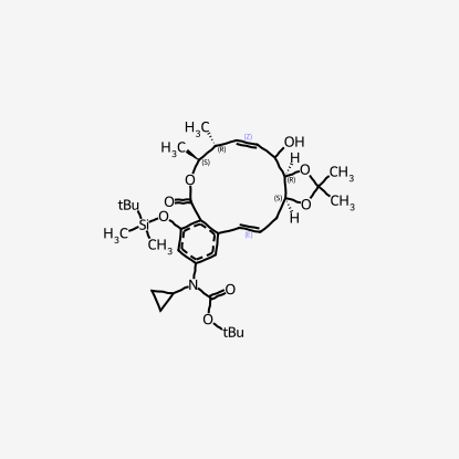 C[C@@H]1/C=C\C(O)[C@H]2OC(C)(C)O[C@H]2C/C=C/c2cc(N(C(=O)OC(C)(C)C)C3CC3)cc(O[Si](C)(C)C(C)(C)C)c2C(=O)O[C@H]1C